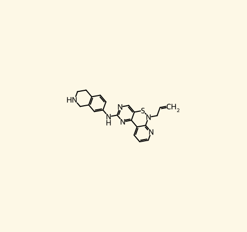 C=CCN1Sc2cnc(Nc3ccc4c(c3)CNCC4)nc2-c2cccnc21